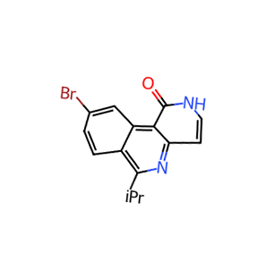 CC(C)c1nc2cc[nH]c(=O)c2c2cc(Br)ccc12